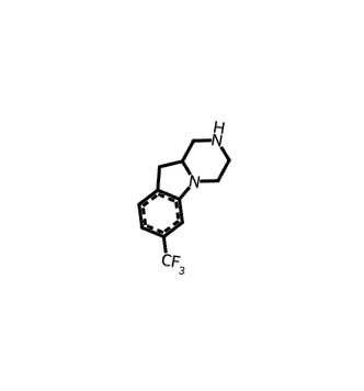 FC(F)(F)c1ccc2c(c1)N1CCNCC1C2